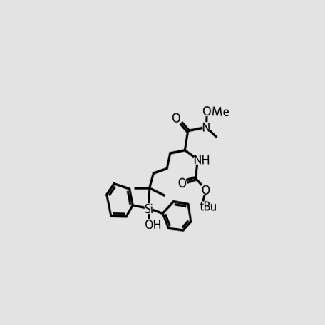 CON(C)C(=O)C(CCCC(C)(C)[Si](O)(c1ccccc1)c1ccccc1)NC(=O)OC(C)(C)C